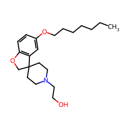 CCCCCCCOc1ccc2c(c1)C1(CCN(CCO)CC1)CO2